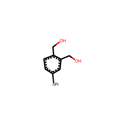 CCCc1ccc(CO)c(CO)c1